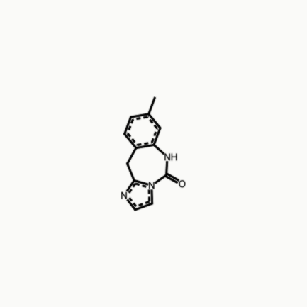 Cc1ccc2c(c1)NC(=O)n1ccnc1C2